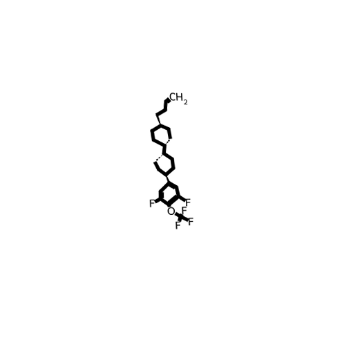 C=CCC[C@H]1CC[C@H]([C@H]2CC[C@H](c3cc(F)c(OC(F)(F)F)c(F)c3)CC2)CC1